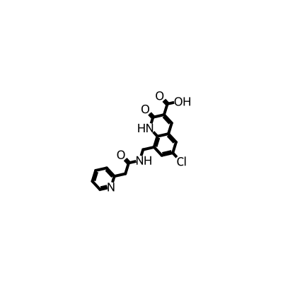 O=C(Cc1ccccn1)NCc1cc(Cl)cc2cc(C(=O)O)c(=O)[nH]c12